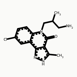 Cc1[nH]nc2c1c(=O)n(CC(C)CN)c1ccc(Cl)cc21